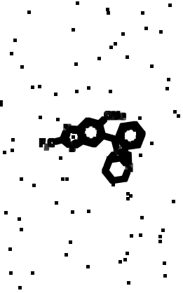 COc1cc2nc(C(F)(F)F)sc2cc1CN1CN2CCCC1C2c1ccccc1